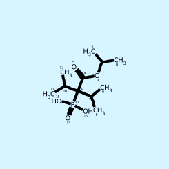 CC(C)OC(=O)C(C(C)C)(C(C)C)P(=O)(O)O